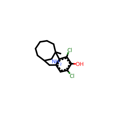 CC12CCCCCC(Cc3cc(Cl)c(O)c(Cl)c31)C2N